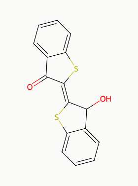 O=C1/C(=C2\Sc3ccccc3C2O)Sc2ccccc21